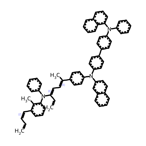 C=C/C=C\c1cccc(N(/C(C=C)=C/C=C(\C)c2ccc(N(c3ccc(-c4ccc(N(c5ccccc5)c5cccc6ccccc56)cc4)cc3)c3ccc4ccccc4c3)cc2)c2ccccc2)c1C